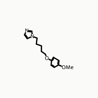 COc1ccc(OCCCCCn2ccnc2)cc1